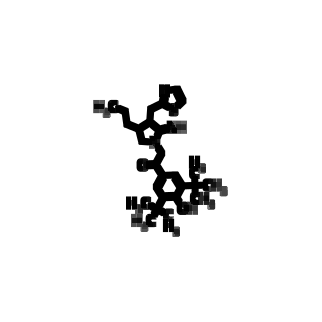 CCCC1CN(CC(=O)c2cc(C(C)(C)C)c(O)c(C(C)(C)C)c2)C(=N)C1Cc1nccs1